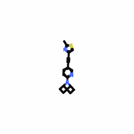 Cc1nc(C#Cc2ccc(N3C4CCC45CCC35)nc2)cs1